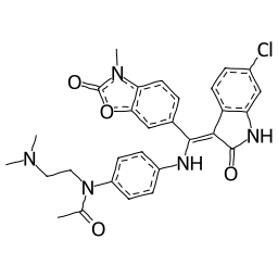 CC(=O)N(CCN(C)C)c1ccc(N/C(=C2\C(=O)Nc3cc(Cl)ccc32)c2ccc3c(c2)oc(=O)n3C)cc1